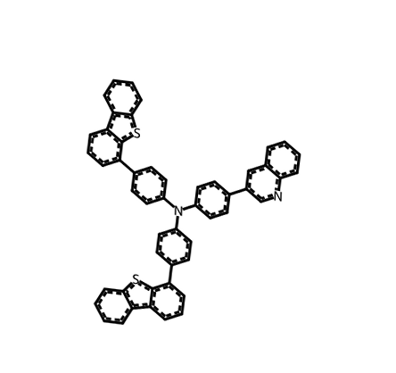 c1ccc2ncc(-c3ccc(N(c4ccc(-c5cccc6c5sc5ccccc56)cc4)c4ccc(-c5cccc6c5sc5ccccc56)cc4)cc3)cc2c1